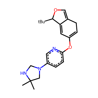 CC1(C)CN(c2ccc(OC3=CCC4=COC(C(C)(C)C)C4=C3)nc2)CN1